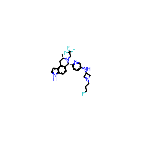 C[C@@H]1Cc2c(ccc3[nH]ccc23)[C@@H](c2ccc(NC3CN(CCCF)C3)cn2)N1CC(F)(F)F